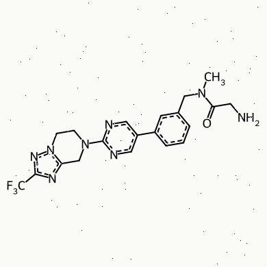 CN(Cc1cccc(-c2cnc(N3CCn4nc(C(F)(F)F)nc4C3)nc2)c1)C(=O)CN